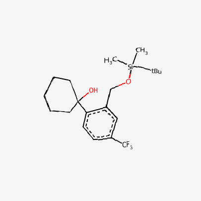 CC(C)(C)[Si](C)(C)OCc1cc(C(F)(F)F)ccc1C1(O)CCCCC1